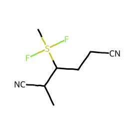 CC(C#N)C(CCC#N)S(C)(F)F